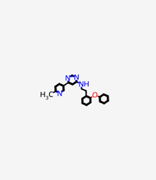 Cc1ccc(-c2cc(NCCc3ccccc3Oc3ccccc3)ncn2)cn1